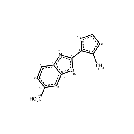 Cc1ccsc1-c1nc2ccc(C(=O)O)cc2o1